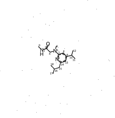 CNC(=O)CN(C)c1cc(C(C)C)cc(CC(C)C)n1